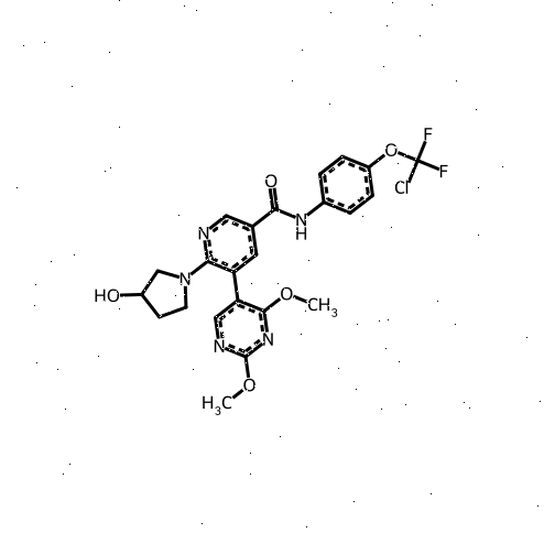 COc1ncc(-c2cc(C(=O)Nc3ccc(OC(F)(F)Cl)cc3)cnc2N2CCC(O)C2)c(OC)n1